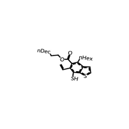 C=Cc1c(C(=O)OCCCCCCCCCCCC)c(CCCCCC)c2ccsc2c1S